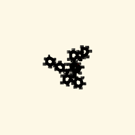 c1ccc(-c2ccc(N(c3cccc(-c4cccc5c4sc4ccccc45)c3)c3cccc4c5ccccc5n(-c5ccccc5)c34)cc2)cc1